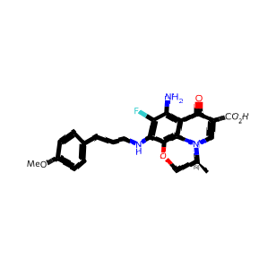 COc1ccc(CCCNc2c(F)c(N)c3c(=O)c(C(=O)O)cn4c3c2OC[C@@H]4C)cc1